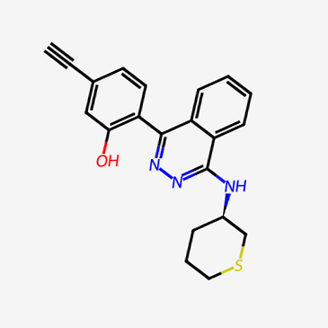 C#Cc1ccc(-c2nnc(N[C@@H]3CCCSC3)c3ccccc23)c(O)c1